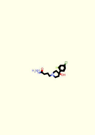 NNC(=O)CCCN1CCC(O)(c2ccc(Cl)cc2F)CC1